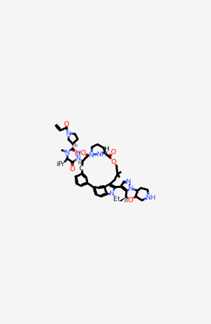 C=CC(=O)N1CC[C@H](C(=O)N(C)C(C(=O)N[C@H]2Cc3cccc(c3)-c3ccc4c(c3)c(c(-c3cnn5c3[C@H](C)OC3CNCCC35)n4CC)CC(C)(C)COC(=O)[C@@H]3CCCN(N3)C2=O)C(C)C)C1